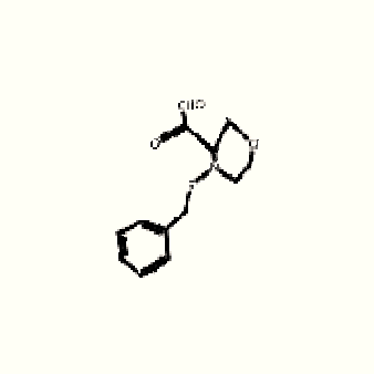 O=CC(=O)C1COCCN1SCc1ccccc1